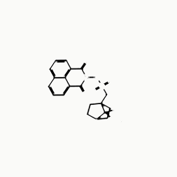 CC1(C)C2CCC1(CS(=O)(=O)ON1C(=O)c3cccc4cccc(c34)C1=O)CC2